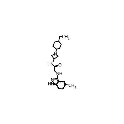 CCC1CCC(N2CC(NC(=O)CNc3n[nH]c4ccc(C)cc34)C2)CC1